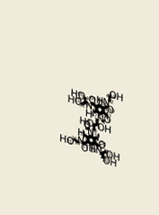 O=CN(CC(O)C(O)CN(C=O)c1c(I)c(C(=O)NCCO)c(I)c(C(=O)NC(CO)CO)c1I)c1c(I)c(C(=O)NCCO)c(I)c(C(=O)NC(CO)CO)c1I